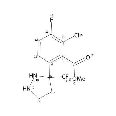 COC(=O)c1c(C2(C(F)(F)F)CCNN2)ccc(F)c1Cl